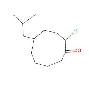 CC(C)CC1CCCCC(=O)C(Cl)CC1